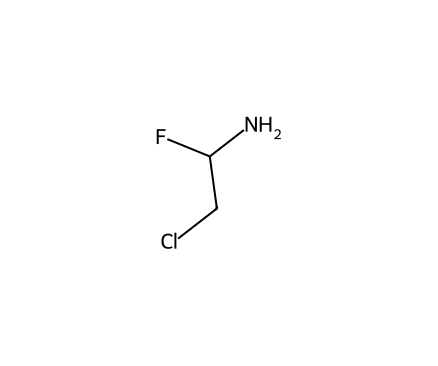 NC(F)CCl